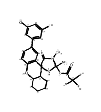 CN1C(=O)C2(NC1(N)OC(=O)C(F)(F)F)c1cc(-c3cc(F)cc(Cl)c3)ccc1OC1CCCCC12